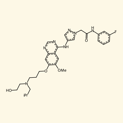 COc1cc2c(Nc3cnn(CC(=O)Nc4cccc(F)c4)c3)ncnc2cc1OCCCN(CCO)CC(C)C